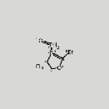 CCC1=[N+]([PH2]=O)CCO1.[Cl-]